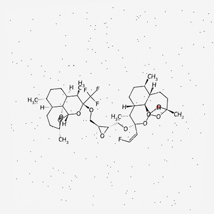 C[C@@H]1CC[C@H]2[C@@H](C)[C@@](/C=C\F)(OC[C@@H]3O[C@H]3CO[C@@]3(C(F)(F)F)O[C@@H]4O[C@]5(C)CC[C@H]6[C@H](C)CC[C@@H]([C@H]3C)[C@@]46OO5)O[C@@H]3O[C@]4(C)CC[C@@H]1[C@]32OO4